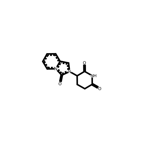 O=C1CCC(n2cc3ccccn3c2=O)C(=O)N1